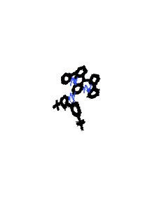 CC(C)(C)c1ccc2c(c1)c1cc(C(C)(C)C)ccc1n2-c1cc2c3c(c1)-n1c4ccccc4c4cccc(c41)C3c1cccc3c4ccccc4n-2c13